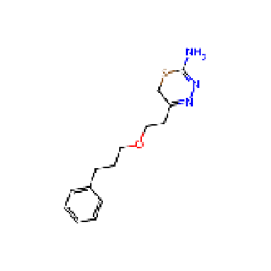 NC1=NN=C(CCOCCCc2ccccc2)CS1